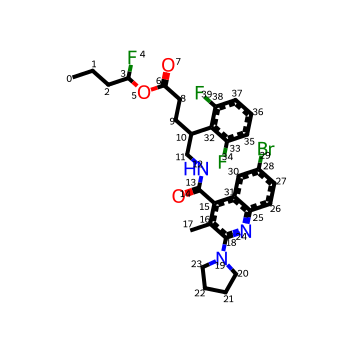 CCCC(F)OC(=O)CCC(CNC(=O)c1c(C)c(N2CCCC2)nc2ccc(Br)cc12)c1c(F)cccc1F